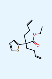 C=CCCC(CCC=C)(C(=O)OCC)c1cccs1